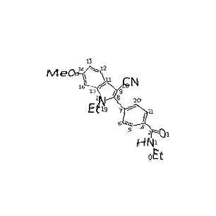 CCNC(=O)c1ccc(-c2c(C#N)c3ccc(OC)cc3n2CC)cc1